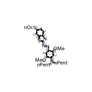 CCCCCCCCc1ccc2nc(/N=N/c3cc(OC)c(N(CCCCC)CCCCC)cc3OC)sc2c1